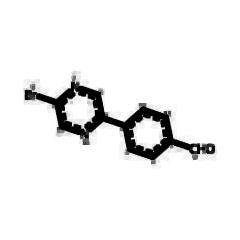 O=Cc1ccc(-c2cnc(Br)cn2)cc1